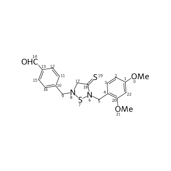 COc1ccc(CN2SN(Cc3ccc(C=O)cc3)CC2=S)c(OC)c1